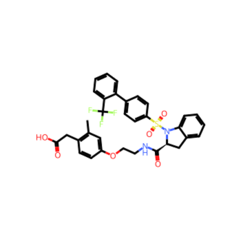 Cc1cc(OCCNC(=O)[C@@H]2Cc3ccccc3N2S(=O)(=O)c2ccc(-c3ccccc3C(F)(F)F)cc2)ccc1CC(=O)O